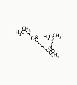 CCC(CCCCCCCCCC(=O)OCCCCCC(C)C)C(=O)OCCCCCC(C)C